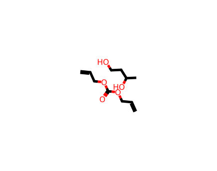 C=CCOC(=O)OCC=C.CC(O)CCO